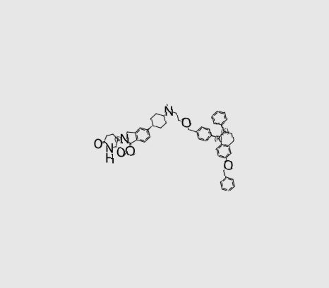 CN(CCOCc1ccc([C@@H]2c3ccc(OCc4ccccc4)cc3CC[C@@H]2c2ccccc2)cc1)[C@H]1CC[C@H](c2ccc3c(c2)CN([C@H]2CCC(=O)NC2=O)C3=O)CC1